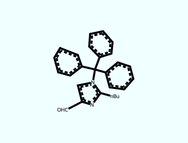 CCCCc1nc(C=O)cn1C(c1ccccc1)(c1ccccc1)c1ccccc1